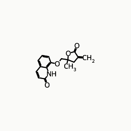 C=C1CC(C)(COc2cccc3ccc(=O)[nH]c23)OC1=O